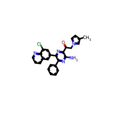 Cc1ccn(CC(=O)c2nc(-c3cc(Cl)c4ncccc4c3)c(-c3ccccc3)nc2N)c1